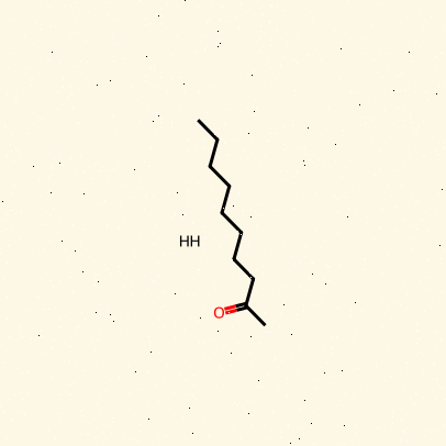 CCCCCCCCC(C)=O.[HH]